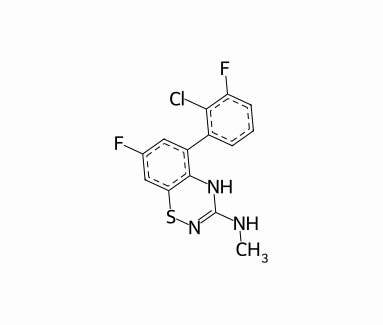 CNC1=NSc2cc(F)cc(-c3cccc(F)c3Cl)c2N1